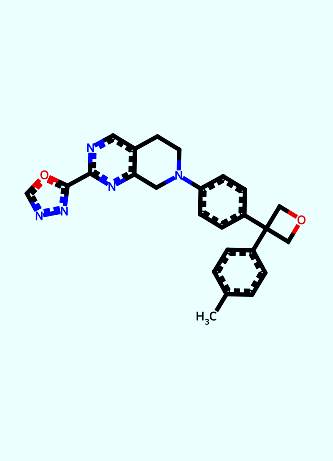 Cc1ccc(C2(c3ccc(N4CCc5cnc(-c6nnco6)nc5C4)cc3)COC2)cc1